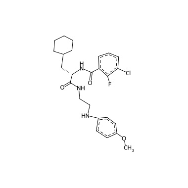 COc1ccc(NCCNC(=O)[C@H](CC2CCCCC2)NC(=O)c2cccc(Cl)c2F)cc1